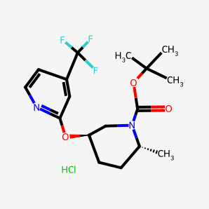 C[C@@H]1CC[C@@H](Oc2cc(C(F)(F)F)ccn2)CN1C(=O)OC(C)(C)C.Cl